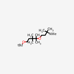 CNC(C)(C)CCOC(C)(C)C(C)(C)CCOC(C)(C)C